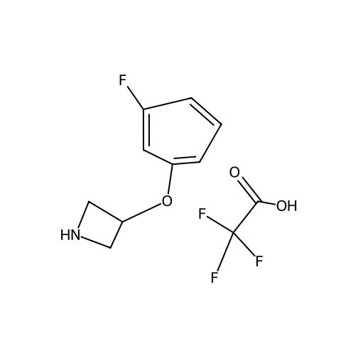 Fc1cccc(OC2CNC2)c1.O=C(O)C(F)(F)F